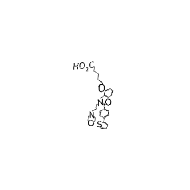 O=C(O)CCCCCOc1ccccc1CN(CCCN1CCOCC1)C(=O)c1ccc(-c2cccs2)cc1